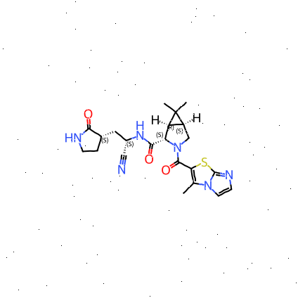 Cc1c(C(=O)N2C[C@H]3[C@@H]([C@H]2C(=O)N[C@H](C#N)C[C@@H]2CCNC2=O)C3(C)C)sc2nccn12